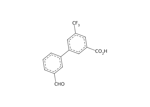 O=Cc1cccc(-c2cc(C(=O)O)cc(C(F)(F)F)c2)c1